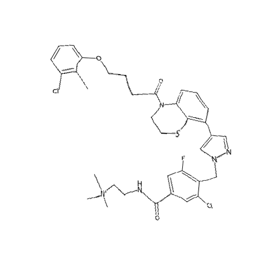 Cc1c(Cl)cccc1OCCCC(=O)N1CCSc2c(-c3cnn(Cc4c(F)cc(C(=O)NCC[N+](C)(C)C)cc4Cl)c3)cccc21